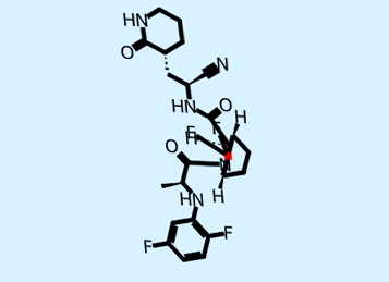 C[C@H](Nc1cc(F)ccc1F)C(=O)N1[C@H]2CC[C@@H]([C@@H]1C(=O)N[C@H](C#N)C[C@H]1CCCNC1=O)C(F)(F)C2